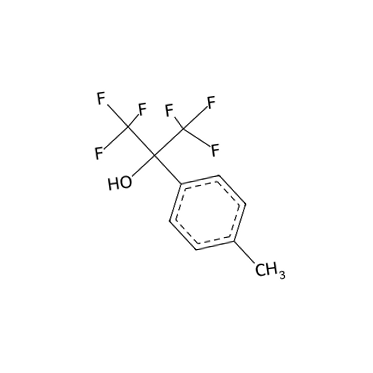 Cc1ccc(C(O)(C(F)(F)F)C(F)(F)F)cc1